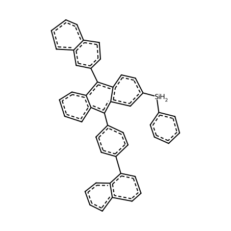 c1ccc([SiH2]c2ccc3c(-c4ccc5ccccc5c4)c4ccccc4c(-c4ccc(-c5cccc6ccccc56)cc4)c3c2)cc1